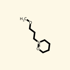 COCCC[SiH]1CCCCO1